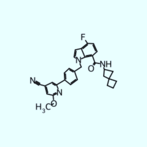 COc1cc(C#N)cc(-c2ccc(Cn3ccc4c(F)ccc(C(=O)NC5CC6(CCC6)C5)c43)cc2)n1